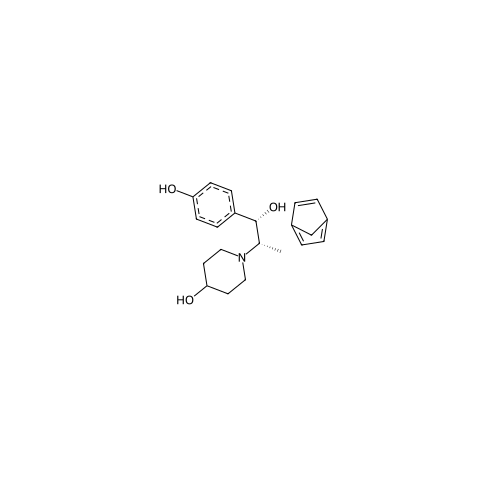 C1=CC2=CC=C1C2.C[C@@H]([C@@H](O)c1ccc(O)cc1)N1CCC(O)CC1